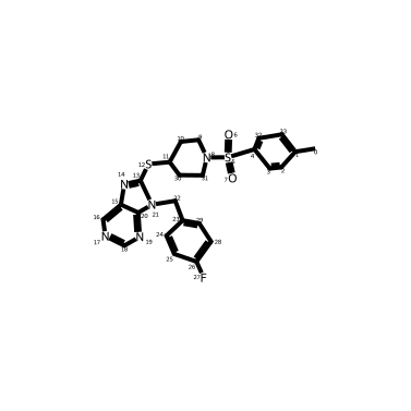 Cc1ccc(S(=O)(=O)N2CCC(Sc3nc4cncnc4n3Cc3ccc(F)cc3)CC2)cc1